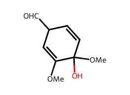 COC1=CC(C=O)C=CC1(O)OC